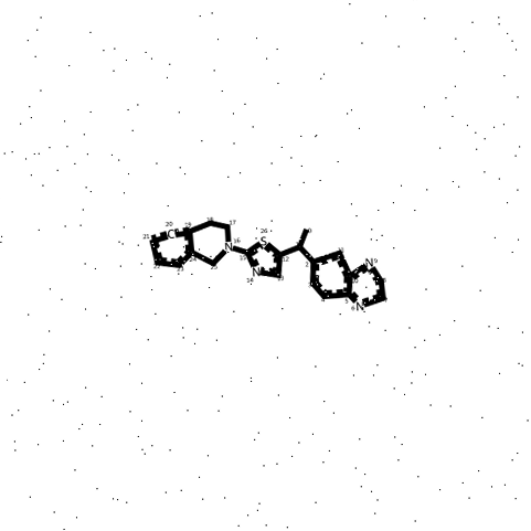 CC(c1ccc2nccnc2c1)c1cnc(N2CCc3ccccc3C2)s1